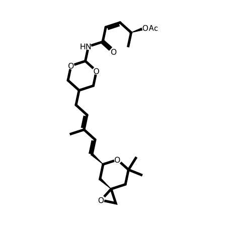 CC(=O)O[C@@H](C)/C=C\C(=O)NC1OCC(C/C=C(C)/C=C/[C@@H]2C[C@]3(CO3)CC(C)(C)O2)CO1